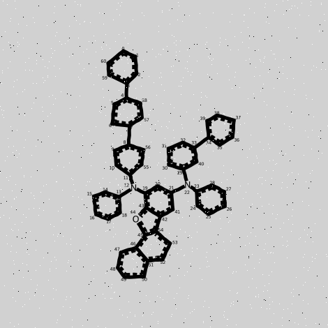 c1ccc(-c2ccc(-c3ccc(N(c4ccccc4)c4cc(N(c5ccccc5)c5cccc(-c6ccccc6)c5)cc5c4oc4c6ccccc6ccc54)cc3)cc2)cc1